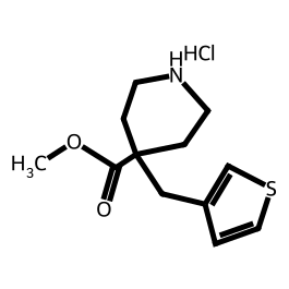 COC(=O)C1(Cc2ccsc2)CCNCC1.Cl